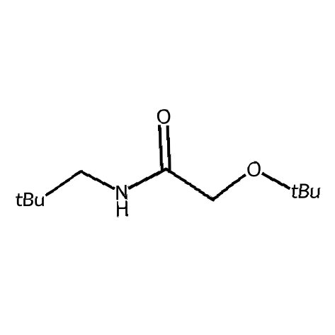 CC(C)(C)CNC(=O)COC(C)(C)C